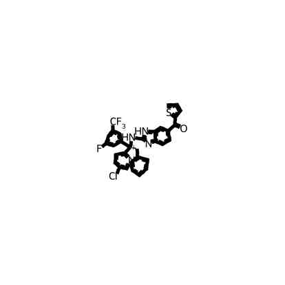 O=C(c1ccc2nc(N[C@](Cc3ccccc3)(c3cc(F)cc(C(F)(F)F)c3)c3ccc(Cl)cn3)[nH]c2c1)c1cccs1